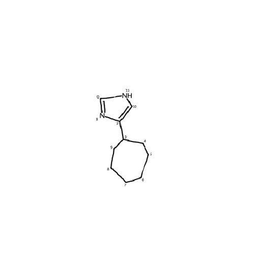 [c]1nc(C2CCCCCC2)c[nH]1